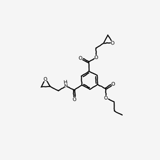 CCCOC(=O)c1cc(C(=O)NCC2CO2)cc(C(=O)OCC2CO2)c1